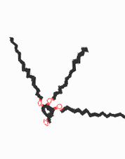 CCCCCCCCCCCCCCCOc1cc(C=O)cc(OCCCCCCCCCCCCCCC)c1OCCCCCCCCCCCCCCC